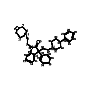 O=C1N(CCN2CCOCC2)c2ccccc2C1(CCN1CCC(c2ccccc2)CC1)c1ccccc1